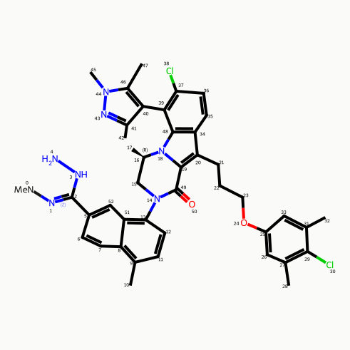 CN/N=C(\NN)c1ccc2c(C)ccc(N3C[C@@H](C)n4c(c(CCCOc5cc(C)c(Cl)c(C)c5)c5ccc(Cl)c(-c6c(C)nn(C)c6C)c54)C3=O)c2c1